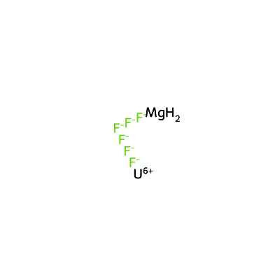 [F-].[F-].[F-].[F-].[F-].[F-].[MgH2].[U+6]